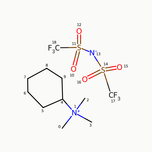 C[N+](C)(C)C1CCCCC1.O=S(=O)([N-]S(=O)(=O)C(F)(F)F)C(F)(F)F